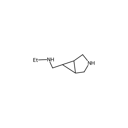 CCNCC1C2CNCC12